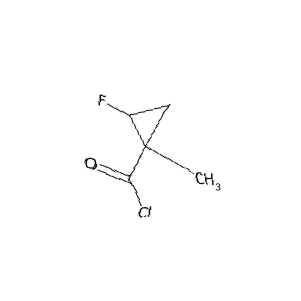 CC1(C(=O)Cl)CC1F